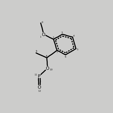 COc1ccccc1C(C)OP=O